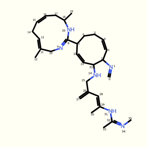 C=NC1C=CCCC(/C2=N/C/C(C)=C/C/C=C\CC(C)N2)/C=C\C1NCC(=C)/C=C(\C)N/C(C)=N\C